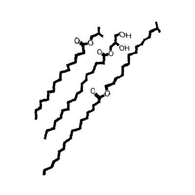 CCCCCCCCCCCCCCCC(=O)OCC(C)C.CCCCCCCCCCCCCCCCCC(=O)OCC(O)CO.CCCCCCCCCCCCCCCCCC(=O)OCCCCCCCCCCCCCC(C)C